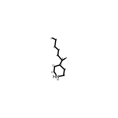 CCCCCC(C)C1CCNCC1